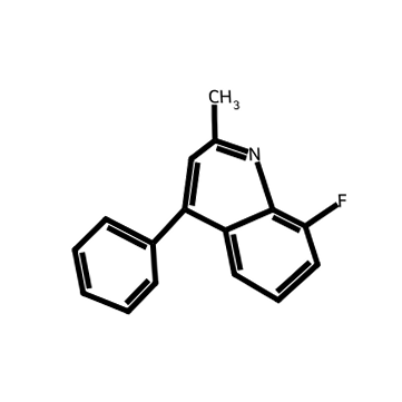 Cc1cc(-c2ccccc2)c2cccc(F)c2n1